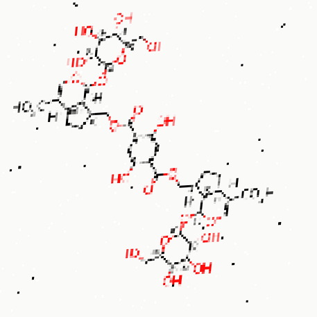 O=C(O)C1=CO[C@@H](O[C@@H]2O[C@H](CO)[C@@H](O)[C@H](O)[C@H]2O)[C@H]2[C@@H](COC(=O)c3cc(O)c(C(=O)OC[C@H]4CC[C@H]5C(C(=O)O)=CO[C@@H](O[C@@H]6O[C@H](CO)[C@@H](O)[C@H](O)[C@H]6O)[C@@H]45)cc3O)CC[C@@H]12